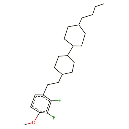 CCCCC1CCC(C2CCC(CCc3ccc(OC)c(F)c3F)CC2)CC1